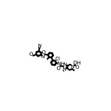 Cc1c(-c2nc3cc(C=O)cc(C#N)c3o2)cccc1-c1cccc(NC(=O)c2nc3c(n2C)CC(C)N(C(=O)O)C3)c1Cl